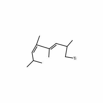 CC(=CC(C)C)C(C)=CC(C)[CH2][Ti]